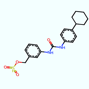 O=C(Nc1ccc(C2CCCCC2)cc1)Nc1cccc(CO[SH](=O)=O)c1